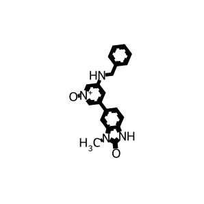 Cn1c(=O)[nH]c2ccc(-c3cc(NCc4ccccc4)c[n+]([O-])c3)cc21